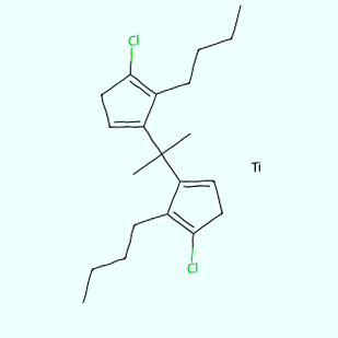 CCCCC1=C(Cl)CC=C1C(C)(C)C1=CCC(Cl)=C1CCCC.[Ti]